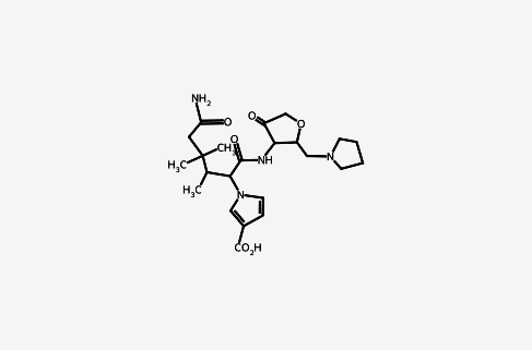 CC(C(C(=O)NC1C(=O)COC1CN1CCCC1)n1ccc(C(=O)O)c1)C(C)(C)CC(N)=O